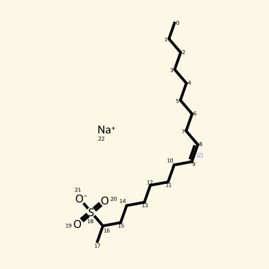 CCCCCCCC/C=C\CCCCCCC(C)S(=O)(=O)[O-].[Na+]